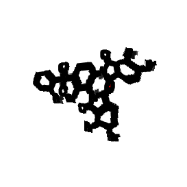 O=C1c2ccc(Br)c(Br)c2C(=O)N1c1ccc(S(=O)(=O)c2ccccc2Br)c(Br)c1N1C(=O)c2ccc(Br)c(Br)c2C1=O